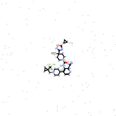 CC1(c2noc([C@@H]3C[C@@H]3F)n2)CCN(C(=O)Nc2c(C3CCN(CC4(C(F)(F)F)CC4)CC3)ccnc2C#N)CC1